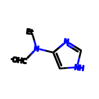 CCN([C]=O)c1c[nH]cn1